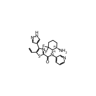 C=Cc1sc(C(=O)N(c2cccnc2)[C@@H]2[C@H](N)CCCC2(F)F)nc1-c1cn[nH]c1